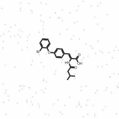 CC(C)CC(=O)NC(=Cc1ccc(Oc2ccccc2Br)cc1)C(=O)O